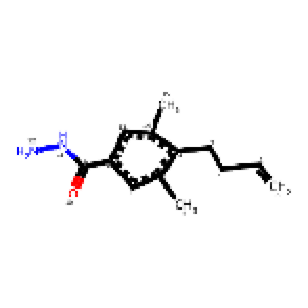 C=CCCc1c(C)cc(C(=O)NN)cc1C